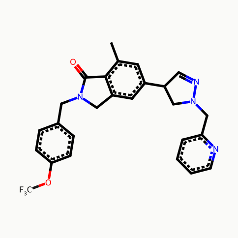 Cc1cc(C2C=NN(Cc3ccccn3)C2)cc2c1C(=O)N(Cc1ccc(OC(F)(F)F)cc1)C2